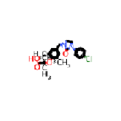 Cc1cc(CN2CCN(c3ccc(Cl)cc3)C2=O)cc(C)c1OC(C)(C)C(=O)O